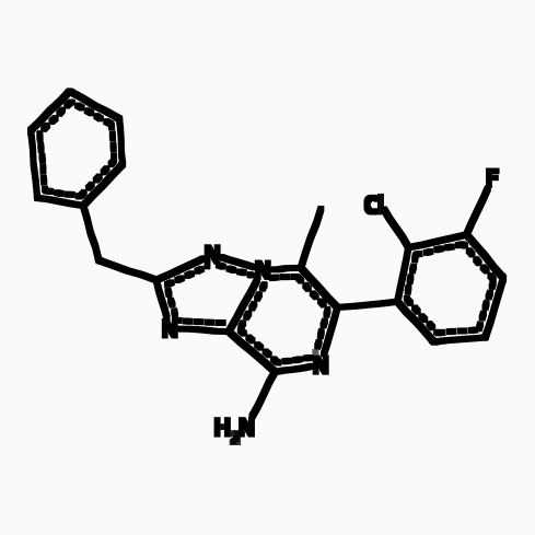 Cc1c(-c2cccc(F)c2Cl)nc(N)c2nc(Cc3ccccc3)nn12